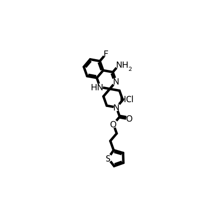 Cl.NC1=NC2(CCN(C(=O)OCCc3cccs3)CC2)Nc2cccc(F)c21